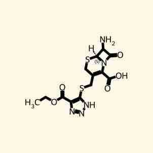 CCOC(=O)c1nn[nH]c1SCC1=C(C(=O)O)N2C(=O)C(N)[C@@H]2SC1